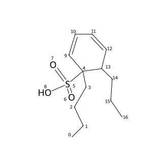 CCCCC1(S(=O)(=O)O)C=CC=CC1CCC